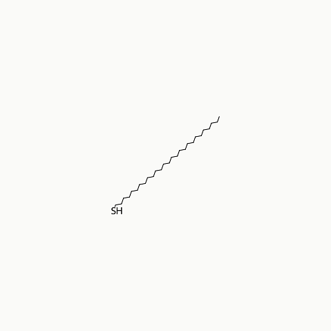 CCCCCCCCCCCCCCCCCCCCCCCCCCCS